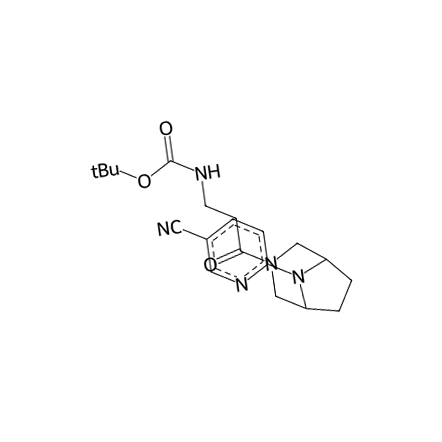 CC(C)(C)OC(=O)NCCC(=O)N1CC2CCC(C1)N2c1ccc(C#N)cn1